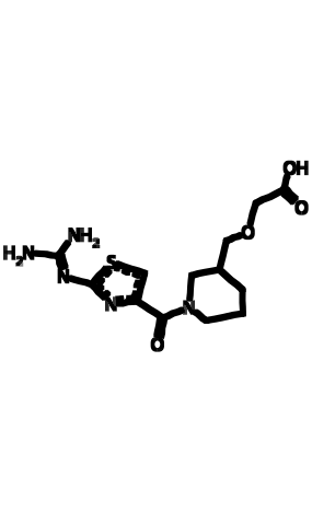 NC(N)=Nc1nc(C(=O)N2CCCC(COCC(=O)O)C2)cs1